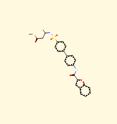 CC(C)(C)OC(=O)CC(NS(=O)(=O)c1ccc(-c2ccc(NC(=O)c3cc4ccccc4o3)cc2)cc1)C(=O)O